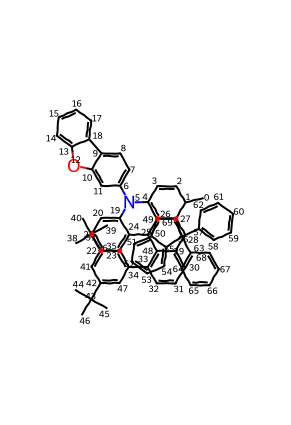 CC1C=CC(N(c2ccc3c(c2)oc2ccccc23)c2ccccc2-c2cccc3cccc(-c4cc(C(C)(C)C)cc(C(C)(C)C)c4)c23)=C2c3ccccc3C(c3ccccc3)(c3ccccc3)C21